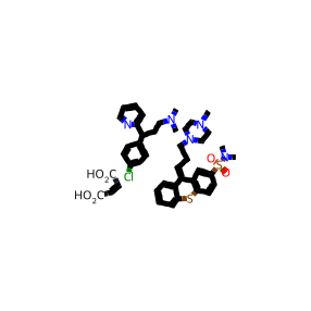 CN(C)CCC(c1ccc(Cl)cc1)c1ccccn1.CN1CCN(CC/C=C2/c3ccccc3Sc3ccc(S(=O)(=O)N(C)C)cc32)CC1.O=C(O)/C=C\C(=O)O